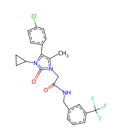 Cc1c(-c2ccc(Cl)cc2)n(C2CC2)c(=O)n1CC(=O)NCc1cccc(C(F)(F)F)c1